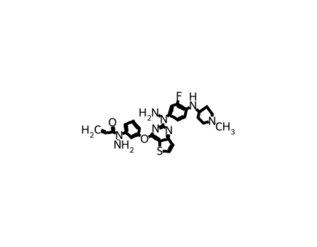 C=CC(=O)N(N)c1cccc(Oc2nc(N(N)c3ccc(NC4CCN(C)CC4)c(F)c3)nc3ccsc23)c1